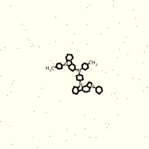 Cc1ccc(N(c2ccc(-n3c4ccccc4c4ccc5c(ccn5-c5ccccc5)c43)cc2)c2ccc3c(c2)c2ccccc2n3-c2ccc(C)cc2)cc1